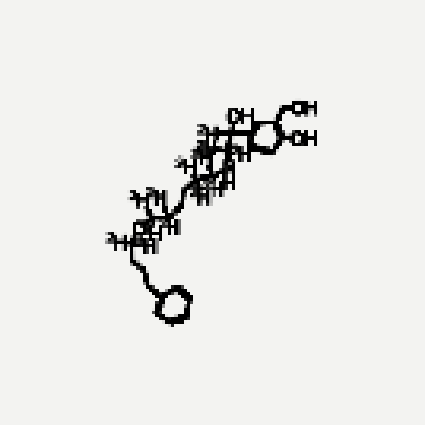 [2H]C([2H])(CCCc1ccccc1)OC([2H])([2H])C([2H])([2H])CCC([2H])([2H])C([2H])([2H])NC([2H])([2H])C([2H])(O)c1ccc(O)c(CO)c1